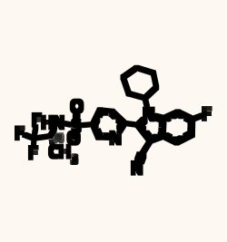 C[C@@H](NS(=O)(=O)c1ccc(-c2c(C#N)c3ccc(F)cc3n2C2CCCCC2)nc1)C(F)(F)F